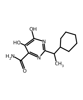 CC(c1nc(O)c(O)c(C(N)=O)n1)C1CCCCC1